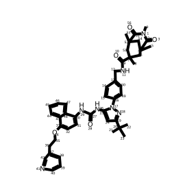 CN1C(=O)C2(C)CC(C)(C(=O)NCc3ccc(-n4nc(C(C)(C)C)cc4NC(=O)Nc4ccc(OCCc5cccnc5)c5ccccc45)cc3)CC(C)(C2)C1=O